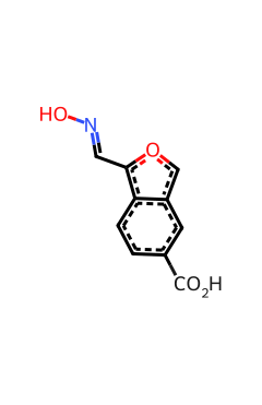 O=C(O)c1ccc2c(C=NO)occ2c1